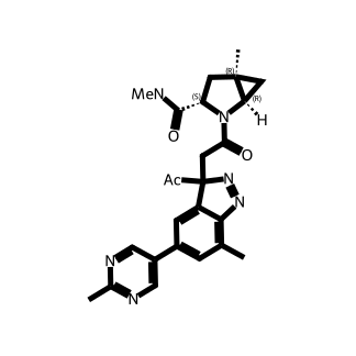 CNC(=O)[C@@H]1C[C@@]2(C)C[C@H]2N1C(=O)CC1(C(C)=O)N=Nc2c(C)cc(-c3cnc(C)nc3)cc21